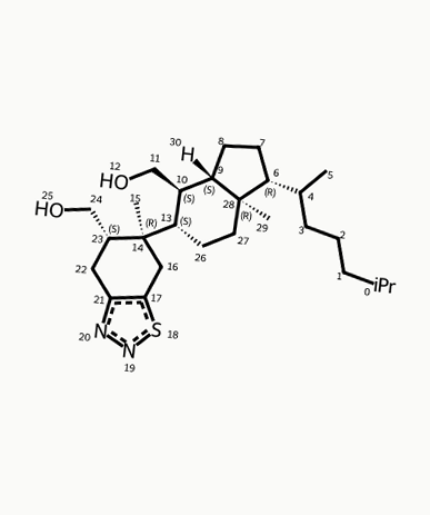 CC(C)CCCC(C)[C@H]1CC[C@H]2[C@H](CO)[C@@H]([C@@]3(C)Cc4snnc4C[C@@H]3CO)CC[C@]12C